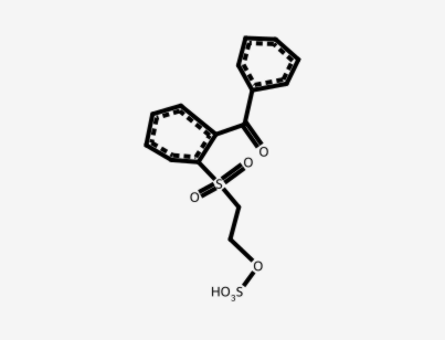 O=C(c1ccccc1)c1ccccc1S(=O)(=O)CCOS(=O)(=O)O